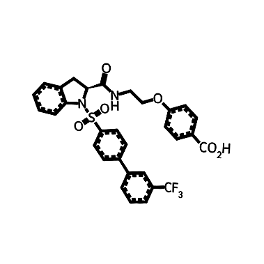 O=C(O)c1ccc(OCCNC(=O)[C@@H]2Cc3ccccc3N2S(=O)(=O)c2ccc(-c3cccc(C(F)(F)F)c3)cc2)cc1